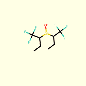 CCC([S+]([O-])C(CC)C(F)(F)F)C(F)(F)F